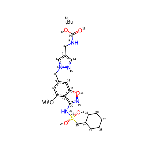 COc1cc(Cn2cc(CNC(=O)OC(C)(C)C)cn2)cc2onc(NS(=O)(=O)CC3CCCCC3)c12